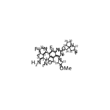 C/N=C\c1c(N)sc2c(F)cnc(-c3c4c(c5c(N6CC(OC)C6)nc(OC[C@@]67CCCN6C[C@H](F)C7)nc5c3F)COC4)c12